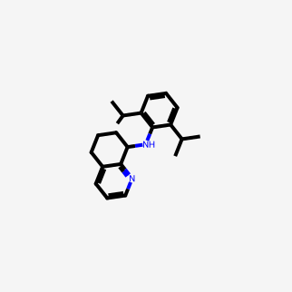 CC(C)c1cccc(C(C)C)c1NC1CCCc2cccnc21